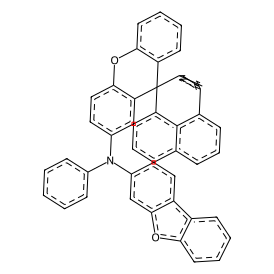 c1ccc(N(c2ccc3c(c2)C2(c4ccccc4O3)c3ccccc3-c3cccc4cccc2c34)c2ccc3c(c2)oc2ccccc23)cc1